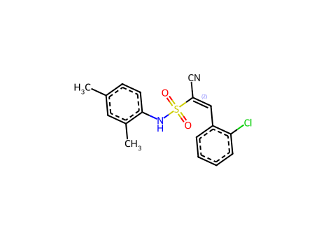 Cc1ccc(NS(=O)(=O)/C(C#N)=C\c2ccccc2Cl)c(C)c1